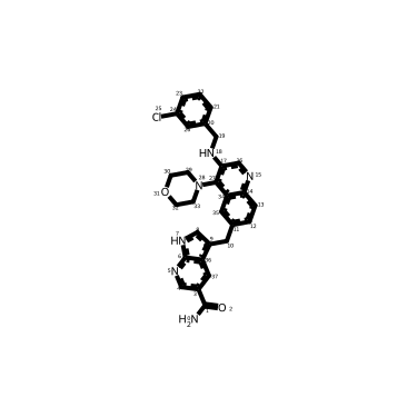 NC(=O)c1cnc2[nH]cc(Cc3ccc4ncc(NCc5cccc(Cl)c5)c(N5CCOCC5)c4c3)c2c1